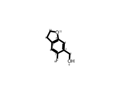 OCc1cc2c(cc1F)CCO2